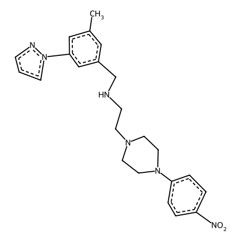 Cc1cc(CNCCN2CCN(c3ccc([N+](=O)[O-])cc3)CC2)cc(-n2cccn2)c1